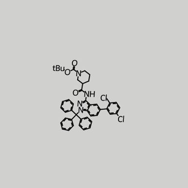 CC(C)(C)OC(=O)N1CCCC(C(=O)Nc2nn(C(c3ccccc3)(c3ccccc3)c3ccccc3)c3ccc(-c4cc(Cl)ccc4Cl)cc23)C1